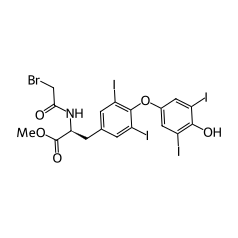 COC(=O)[C@H](Cc1cc(I)c(Oc2cc(I)c(O)c(I)c2)c(I)c1)NC(=O)CBr